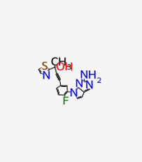 CC(O)(C#Cc1ccc(F)c(-n2ccc3cnc(N)nc32)c1)c1nccs1